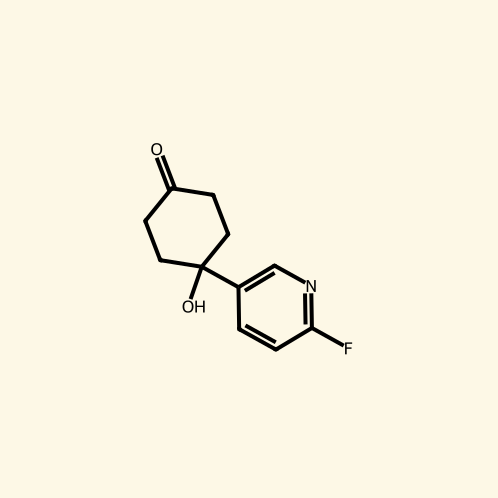 O=C1CCC(O)(c2ccc(F)nc2)CC1